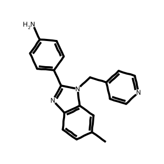 Cc1ccc2nc(-c3ccc(N)cc3)n(Cc3ccncc3)c2c1